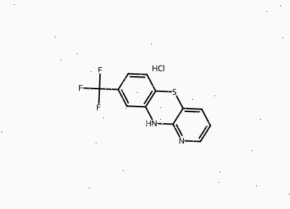 Cl.FC(F)(F)c1ccc2c(c1)Nc1ncccc1S2